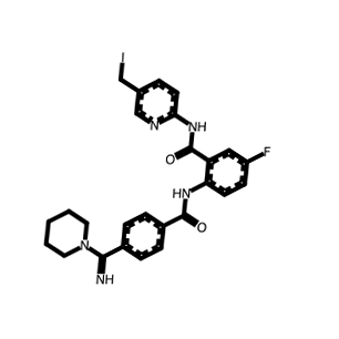 N=C(c1ccc(C(=O)Nc2ccc(F)cc2C(=O)Nc2ccc(CI)cn2)cc1)N1CCCCC1